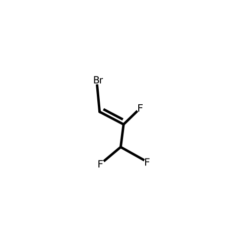 FC(=CBr)C(F)F